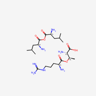 CC(C)C[C@H](N)C(=O)OC(=O)[C@@H](N)CC(C)C.C[C@@H](OC(=O)[C@@H](N)CCCNC(=N)N)[C@H](N)C(=O)O